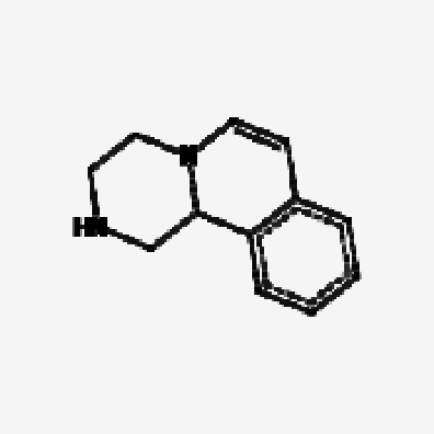 C1=CN2CCNCC2c2ccccc21